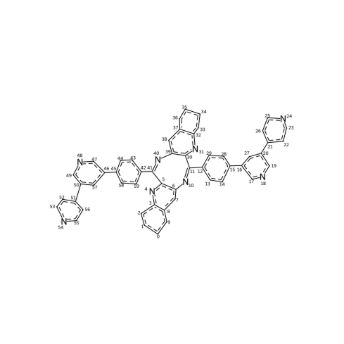 c1ccc2nc3c(cc2c1)/N=C(/c1ccc(-c2cncc(-c4ccncc4)c2)cc1)c1nc2ccccc2cc1/N=C\3c1ccc(-c2cncc(-c3ccncc3)c2)cc1